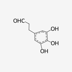 O=CCCc1cc(O)c(O)c(O)c1